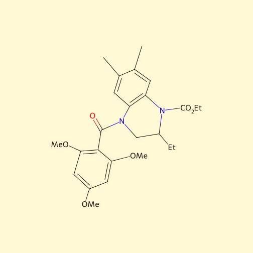 CCOC(=O)N1c2cc(C)c(C)cc2N(C(=O)c2c(OC)cc(OC)cc2OC)CC1CC